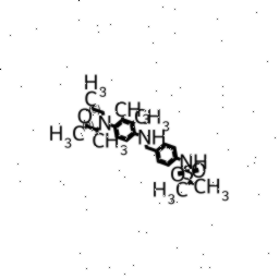 Cc1c(NCc2ccc(NS(=O)(=O)C(C)C)cc2)ccc(N2C[C@H](C)O[C@H](C)C2C)c1C